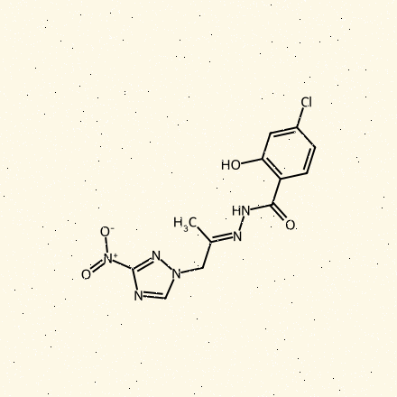 C/C(Cn1cnc([N+](=O)[O-])n1)=N\NC(=O)c1ccc(Cl)cc1O